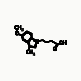 COc1ccc2c(c1)c(C)cn2CCCC(=O)O